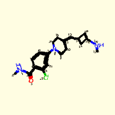 CNC(=O)c1ccc(N2CCC(CC3CC(NC)C3)CC2)cc1Cl